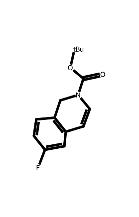 CC(C)(C)OC(=O)N1C=Cc2cc(F)ccc2C1